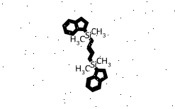 C[Si](C)(C/C=C/C[Si](C)(C)C1CCC2C=CC=CC21)C1CCC2C=CC=CC21